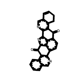 O=C1c2c(ncc3c2CCC=C3)-c2sc3c4c(ccc1c24)-c1ncc2ccccc2c1C3=O